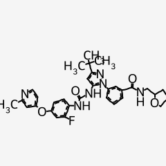 Cc1cc(Oc2ccc(NC(=O)Nc3cc(C(C)(C)C)nn3-c3cccc(C(=O)NCC4CCCO4)c3)c(F)c2)ccn1